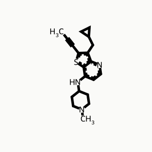 CC#Cc1sc2c(NC3CCN(C)CC3)ccnc2c1CC1CC1